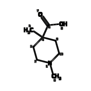 CN1CCC(C)(C(=O)O)CC1